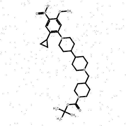 COc1cc(N2CCC(C3CCN(CC4CCN(C(=O)OC(C)(C)C)CC4)CC3)CC2)c(C2CC2)cc1[N+](=O)[O-]